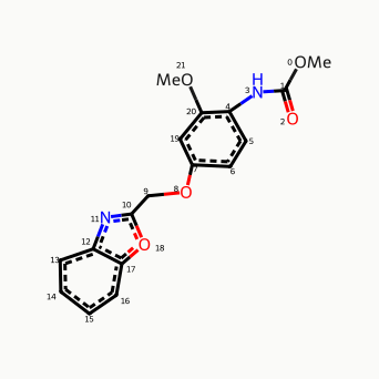 COC(=O)Nc1ccc(OCc2nc3ccccc3o2)cc1OC